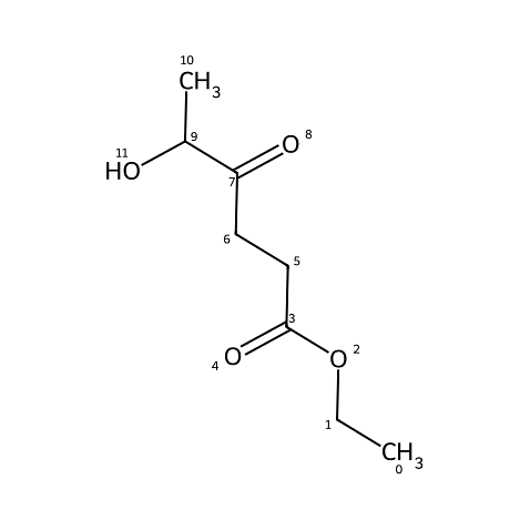 CCOC(=O)CCC(=O)C(C)O